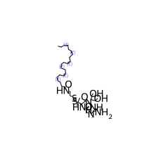 CC/C=C\C/C=C\C/C=C\C/C=C\C/C=C\C/C=C\CCC(=O)NCCSSC(C)(C)C(NC(=O)CN(C)C(=N)N)C(=O)NC(CO)CO